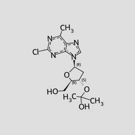 Cc1nc(Cl)nc2c1ncn2[C@H]1C[C@H](OC(C)(C)O)[C@@H](CO)O1